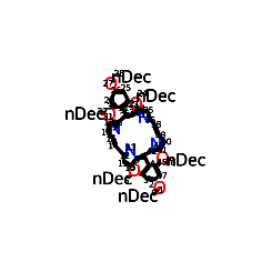 CCCCCCCCCCOc1cc(OCCCCCCCCCC)c(C2=C3C=CC(=N3)C=C3C=CC(=N3)C(c3c(OCCCCCCCCCC)cc(OCCCCCCCCCC)cc3OCCCCCCCCCC)=C3C=CC(=N3)C=C3C=CC2=N3)c(OCCCCCCCCCC)c1